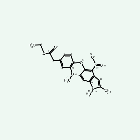 CCOC(=O)Cc1ccc(Oc2ccc3c(cc(C)n3C)c2[N+](=O)[O-])c(OC)c1